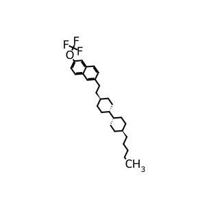 CCCCC[C@H]1CC[C@H]([C@H]2CC[C@H](CCc3ccc4cc(OC(F)(F)F)ccc4c3)CC2)CC1